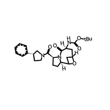 CC(C)(C)OC(=O)N[C@H]1C[C@H]2CC(O2)[C@H]2CC[C@@H](C(=O)N3CC[C@H](c4ccccc4)C3)N2C1=O